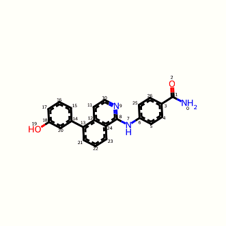 NC(=O)c1ccc(Nc2nccc3c(-c4cccc(O)c4)cccc23)cc1